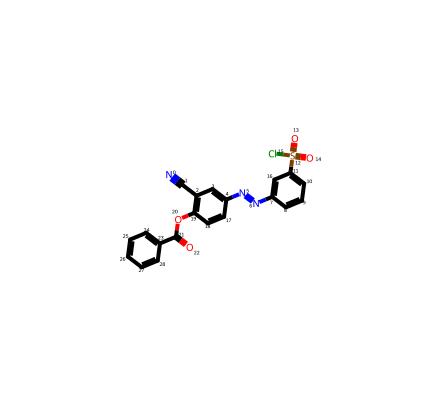 N#Cc1cc(N=Nc2cccc(S(=O)(=O)Cl)c2)ccc1OC(=O)c1ccccc1